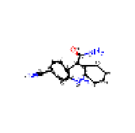 N#Cc1ccc(C(C(N)=O)C2CCCCC2)c(N)c1